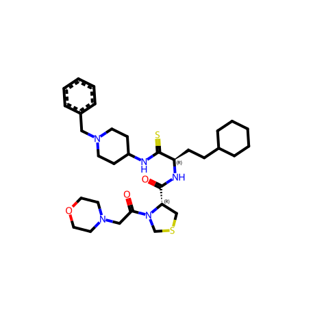 O=C(N[C@H](CCC1CCCCC1)C(=S)NC1CCN(Cc2ccccc2)CC1)[C@@H]1CSCN1C(=O)CN1CCOCC1